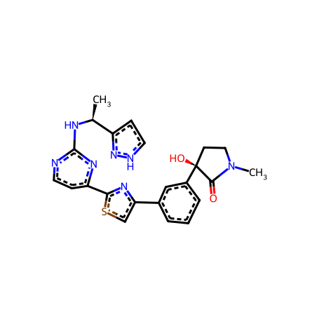 C[C@H](Nc1nccc(-c2nc(-c3cccc([C@]4(O)CCN(C)C4=O)c3)cs2)n1)c1cc[nH]n1